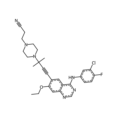 CCOc1cc2ncnc(Nc3ccc(F)c(Cl)c3)c2cc1C#CC(C)(C)N1CCN(CCC#N)CC1